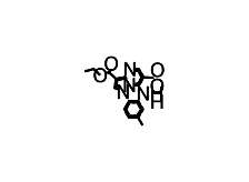 CCOC(=O)c1cnn2c(Nc3cccc(C)c3)c(C(=O)O)cnc12